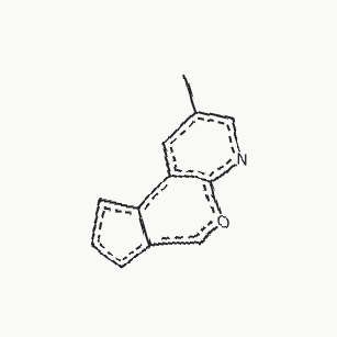 Cc1cnc2occ3cccc-3c2c1